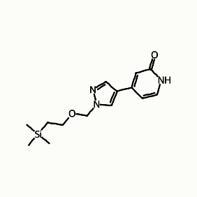 C[Si](C)(C)CCOCn1cc(-c2cc[nH]c(=O)c2)cn1